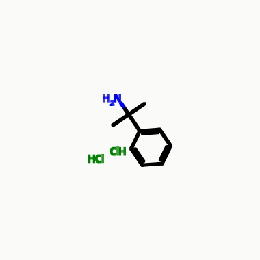 CC(C)(N)c1ccccc1.Cl.Cl